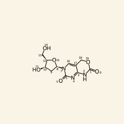 O=C1Nc2nc(=O)n([C@H]3C[C@@H](O)[C@@H](CO)O3)cc2CO1